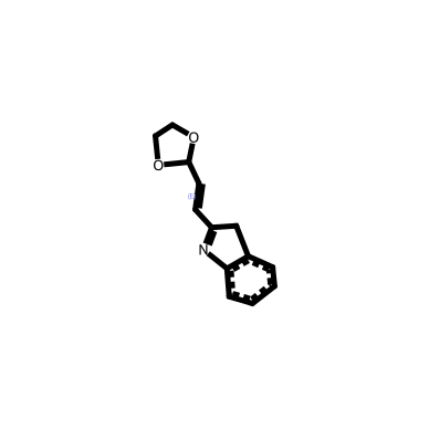 C(=C\C1OCCO1)/C1=Nc2ccccc2C1